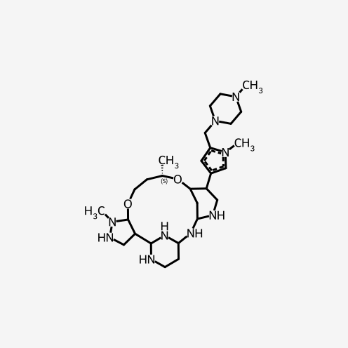 C[C@H]1CCOC2C(CNN2C)C2NCCC(NC3CC(O1)C(c1cc(CN4CCN(C)CC4)n(C)c1)CN3)N2